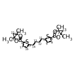 CC12CC1(C)OB(c1ccc(/C=C/C=C/c3ccc(B4OC5(C)CC5(C)O4)s3)s1)O2